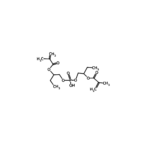 C=C(C)C(=O)OC(CC)COP(=O)(O)OCC(CC)OC(=O)C(=C)C